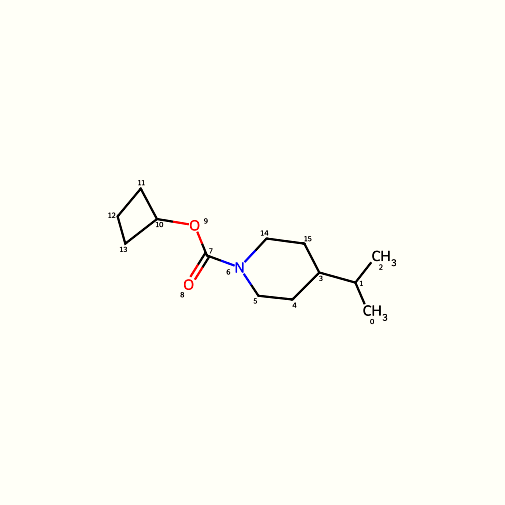 CC(C)C1CCN(C(=O)OC2CCC2)CC1